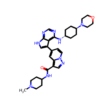 CN1CCC(NC(=O)c2cnn3ccc(-c4c[nH]c5ncnc(N[C@H]6CC[C@H](N7CCOCC7)CC6)c45)cc23)CC1